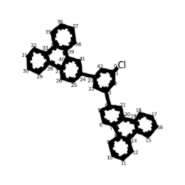 Clc1cc(-c2ccc3c4ccccc4c4ccccc4c3c2)cc(-c2ccc3c4ccccc4c4ccccc4c3c2)c1